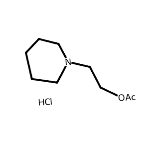 CC(=O)OCCN1CCCCC1.Cl